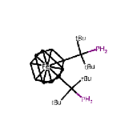 CC(C)(C)C(P)(C(C)(C)C)[C]12[CH]3[CH]4[CH]5[C]1(C(P)(C(C)(C)C)C(C)(C)C)[Fe]43521678[CH]2[CH]1[CH]6[CH]7[CH]28